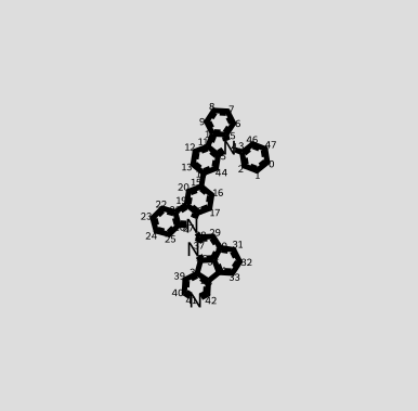 c1ccc(-n2c3ccccc3c3ccc(-c4ccc5c(c4)c4ccccc4n5-c4cc5cccc6c5c(n4)-c4ccncc4-6)cc32)cc1